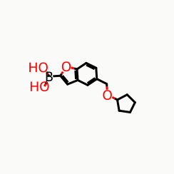 OB(O)c1cc2cc(COC3CCCC3)ccc2o1